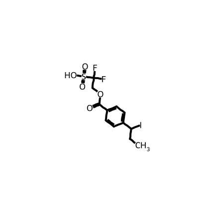 CCC(I)c1ccc(C(=O)OCC(F)(F)S(=O)(=O)O)cc1